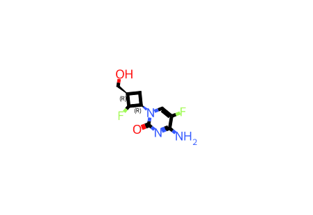 Nc1nc(=O)n([C@@H]2C[C@H](CO)C2F)cc1F